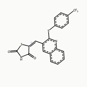 O=C1NC(=O)/C(=C\c2cc3ccccc3nc2Sc2ccc(C(F)(F)F)cc2)S1